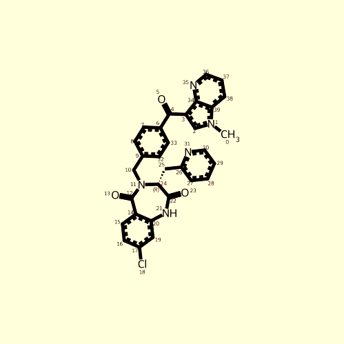 Cn1cc(C(=O)c2ccc(CN3C(=O)c4ccc(Cl)cc4NC(=O)[C@H]3Cc3ccccn3)cc2)c2ncccc21